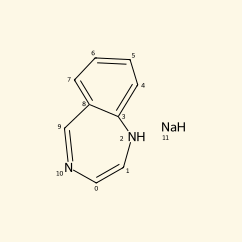 C1=CNc2ccccc2C=N1.[NaH]